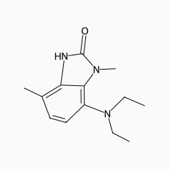 CCN(CC)c1ccc(C)c2[nH]c(=O)n(C)c12